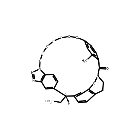 Cc1cc2ccc1C(=O)N1CCc3ccc(cc3C1)[C@H](CC(=O)O)c1ccc3c(c1)nnn3CCCCCCO2